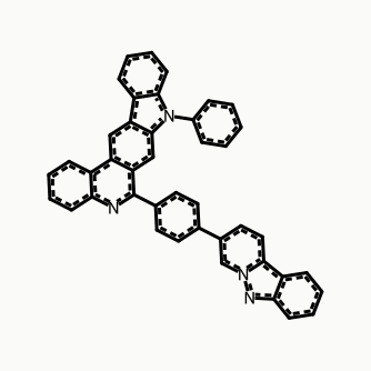 c1ccc(-n2c3ccccc3c3cc4c(cc32)c(-c2ccc(-c3ccc5c6ccccc6nn5c3)cc2)nc2ccccc24)cc1